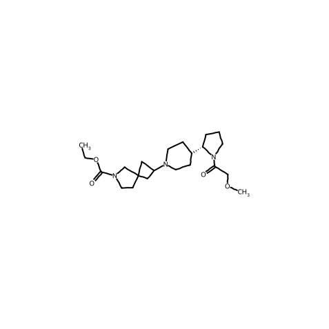 CCOC(=O)N1CCC2(CC(N3CCC([C@@H]4CCCN4C(=O)COC)CC3)C2)C1